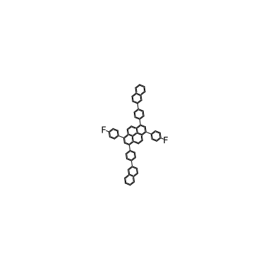 Fc1ccc(-c2cc(-c3ccc(-c4ccc5ccccc5c4)cc3)c3ccc4c(-c5ccc(F)cc5)cc(-c5ccc(-c6ccc7ccccc7c6)cc5)c5ccc2c3c45)cc1